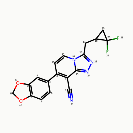 N#Cc1c(-c2ccc3c(c2)OCO3)ccn2c(CC3CC3(F)F)nnc12